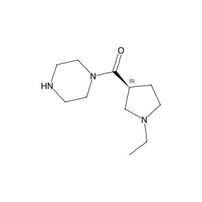 CCN1CC[C@H](C(=O)N2CCNCC2)C1